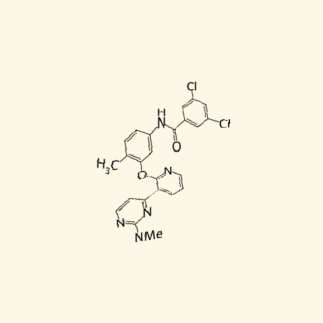 CNc1nccc(-c2cccnc2Oc2cc(NC(=O)c3cc(Cl)cc(Cl)c3)ccc2C)n1